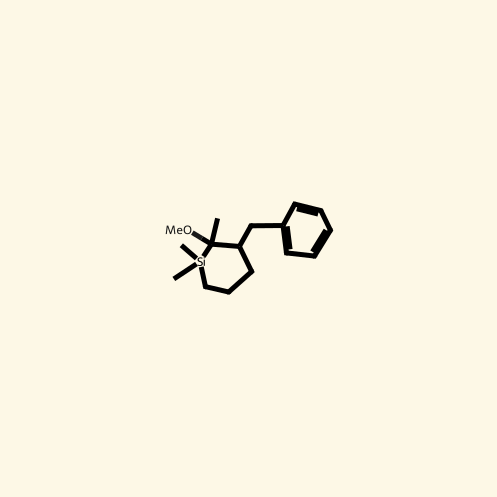 COC1(C)C(Cc2ccccc2)CCC[Si]1(C)C